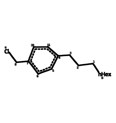 CCCCCCCCCc1ccc(CCl)cc1